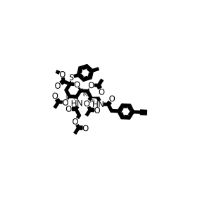 C#Cc1ccc(CC(=O)NC[C@@H](OC(C)=O)[C@@H](OC(C)=O)[C@@H]2O[C@](Sc3ccc(C)cc3)(C(=O)OC)C[C@H](OC(C)=O)[C@H]2NC(=O)COC(C)=O)cc1